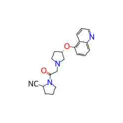 N#CC1CCCN1C(=O)CN1CC[C@H](Oc2cccc3ncccc23)C1